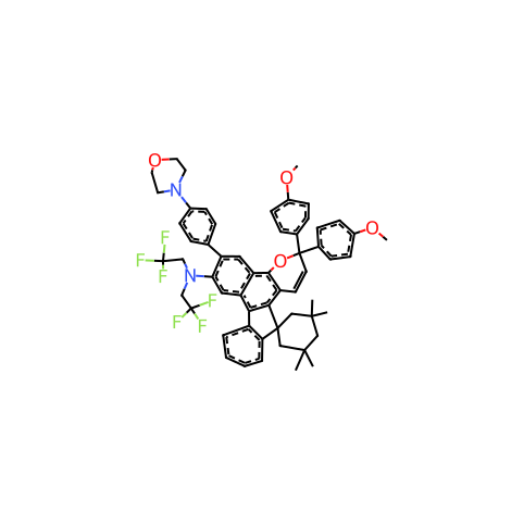 COc1ccc(C2(c3ccc(OC)cc3)C=Cc3c4c(c5cc(N(CC(F)(F)F)CC(F)(F)F)c(-c6ccc(N7CCOCC7)cc6)cc5c3O2)-c2ccccc2C42CC(C)(C)CC(C)(C)C2)cc1